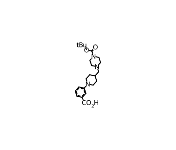 CC(C)(C)OC(=O)N1CCN(CC2CCN(c3cccc(C(=O)O)c3)CC2)CC1